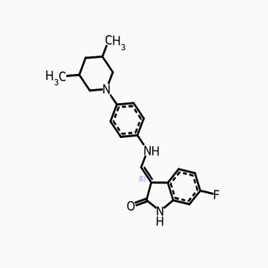 CC1CC(C)CN(c2ccc(N/C=C3/C(=O)Nc4cc(F)ccc43)cc2)C1